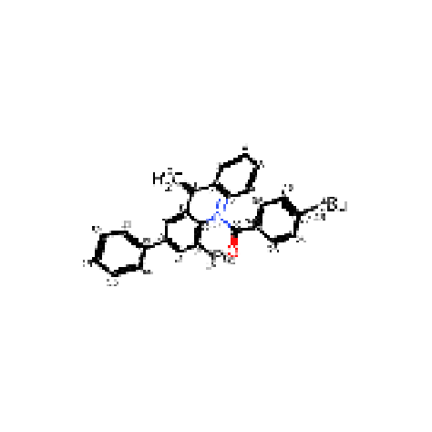 C=C(c1ccccc1)c1cc(-c2ccccc2)cc(C(C)C)c1NC(=O)c1ccc(C(C)(C)C)cc1